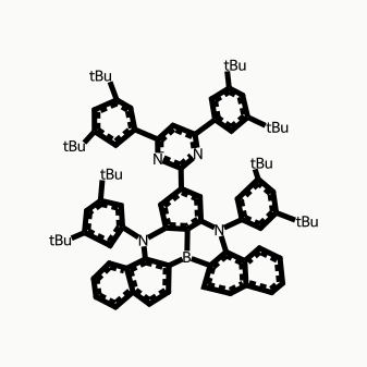 CC(C)(C)c1cc(-c2cc(-c3cc(C(C)(C)C)cc(C(C)(C)C)c3)nc(-c3cc4c5c(c3)N(c3cc(C(C)(C)C)cc(C(C)(C)C)c3)c3c(ccc6ccccc36)B5c3ccc5ccccc5c3N4c3cc(C(C)(C)C)cc(C(C)(C)C)c3)n2)cc(C(C)(C)C)c1